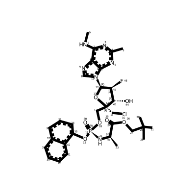 CNc1nc(C)nc2c1ncn2[C@@H]1O[C@](CCl)(CO[P@](=O)(N[C@H](C)C(=O)OCC(C)(C)C)Oc2cccc3ccccc23)[C@@H](O)[C@@H]1F